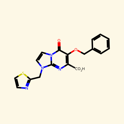 O=C(O)c1nc2n(Cc3nccs3)ccn2c(=O)c1OCc1ccccc1